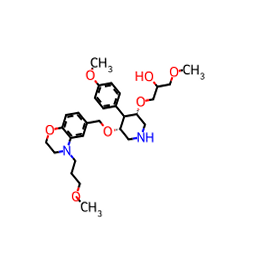 COCCCN1CCOc2ccc(CO[C@H]3CNC[C@@H](OCC(O)COC)C3c3ccc(OC)cc3)cc21